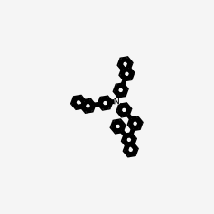 c1ccc(-c2cc3ccccc3cc2-c2cccc(-c3ccc(N(c4ccc(-c5ccc6ccccc6c5)cc4)c4ccc(-c5ccc6ccccc6c5)cc4)cc3)c2)cc1